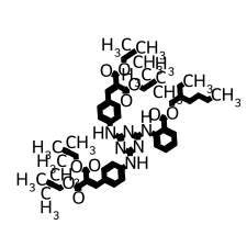 CCCCC(CC)COC(=O)c1ccccc1Nc1nc(Nc2ccc(C=C(C(=O)OCC(C)(C)C)C(=O)OCC(C)(C)C)cc2)nc(Nc2ccc(C=C(C(=O)OCC(C)(C)C)C(=O)OCC(C)(C)C)cc2)n1